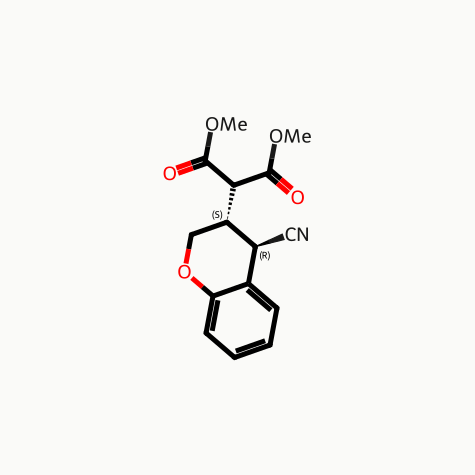 COC(=O)C(C(=O)OC)[C@H]1COc2ccccc2[C@@H]1C#N